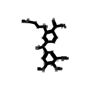 CCN(c1ccc(C(N)=O)c(NCCOC)c1)c1cc(OC)c(OC)c(OC)c1